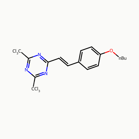 CCCCOc1ccc(C=Cc2nc(C(Cl)(Cl)Cl)nc(C(Cl)(Cl)Cl)n2)cc1